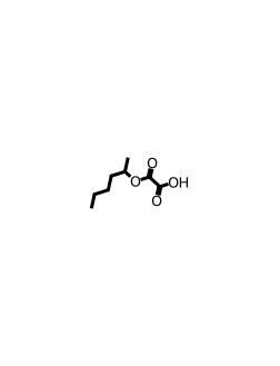 CCCCC(C)OC(=O)C(=O)O